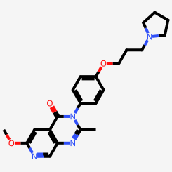 COc1cc2c(=O)n(-c3ccc(OCCCN4CCCC4)cc3)c(C)nc2cn1